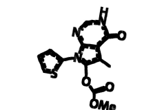 COC(=O)Oc1c(C)c2c(=O)[nH]cnc2n1-c1cccs1